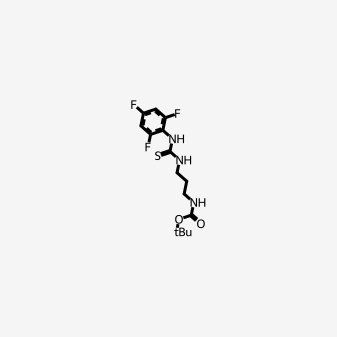 CC(C)(C)OC(=O)NCCCNC(=S)Nc1c(F)cc(F)cc1F